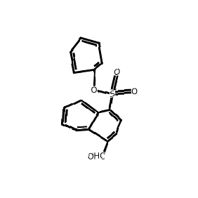 O=Cc1ccc(S(=O)(=O)Oc2ccccc2)c2ccccc12